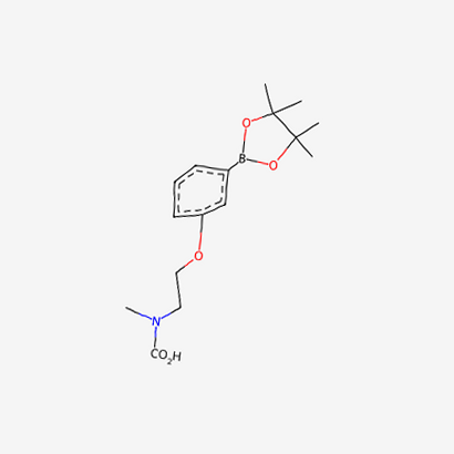 CN(CCOc1cccc(B2OC(C)(C)C(C)(C)O2)c1)C(=O)O